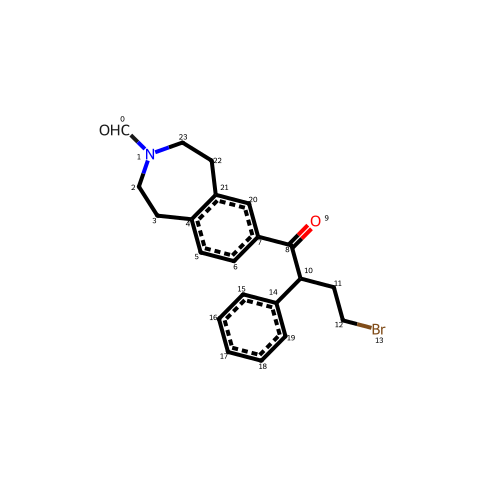 O=CN1CCc2ccc(C(=O)C(CCBr)c3ccccc3)cc2CC1